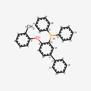 Cc1ccccc1Oc1ccc(-c2ccccc2)cc1P(c1ccccc1)c1ccccc1